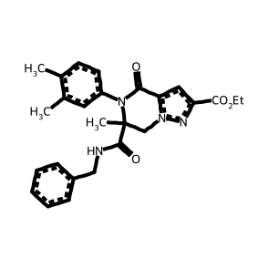 CCOC(=O)c1cc2n(n1)CC(C)(C(=O)NCc1ccccc1)N(c1ccc(C)c(C)c1)C2=O